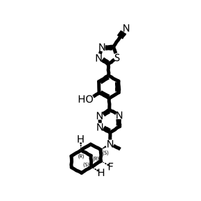 CN(c1cnc(-c2ccc(-c3nnc(C#N)s3)cc2O)nn1)[C@H]1C[C@@H]2CCC[C@@H](C2)[C@H]1F